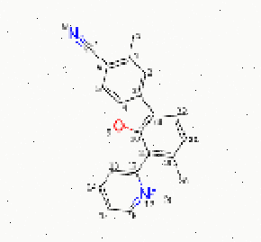 Cc1cc2c(cc1C#N)oc1c(-c3cccc[n+]3C)c(C)ccc12